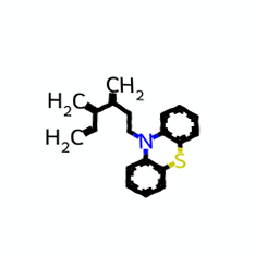 C=CC(=C)C(=C)CCN1c2ccccc2Sc2ccccc21